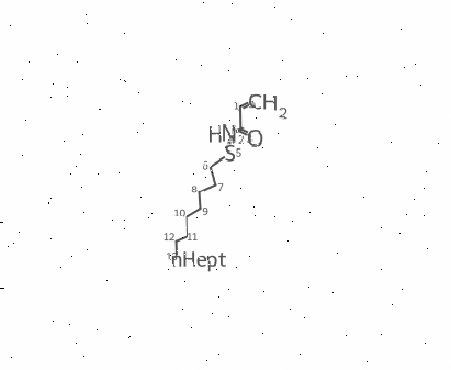 C=CC(=O)NSCCCCCCCCCCCCCC